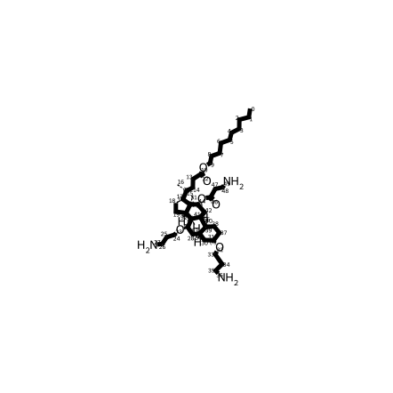 CCCCCCCCCCOC(=O)CC[C@@H](C)[C@H]1CC[C@H]2[C@@H]3[C@H](OCCCN)C[C@@H]4C[C@H](OCCCN)CC[C@]4(C)[C@H]3C[C@H](OC(=O)CCN)[C@]12C